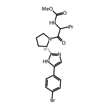 COC(=O)NC(C(=O)N1CCC[C@H]1c1ncc(-c2ccc(Br)cc2)[nH]1)C(C)C